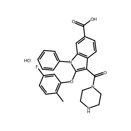 Cc1ccc(F)cc1Oc1c(C(=O)N2CCNCC2)c2ccc(C(=O)O)cc2n1-c1ccccc1.Cl